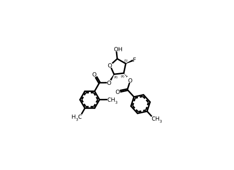 Cc1ccc(C(=O)O[C@@H]2[C@@H](OC(=O)c3ccc(C)cc3C)OC(O)[C@H]2F)cc1